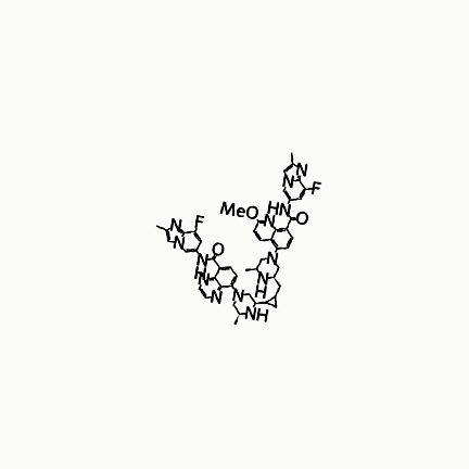 COc1ccc2c(N3C[C@@H](CC4CC4[C@@H]4CN(c5ccc(C(=O)Nc6cc(F)c7nc(C)cn7c6)c6nccnc56)C[C@H](C)N4)N[C@@H](C)C3)ccc(C(=O)Nc3cc(F)c4nc(C)cn4c3)c2n1